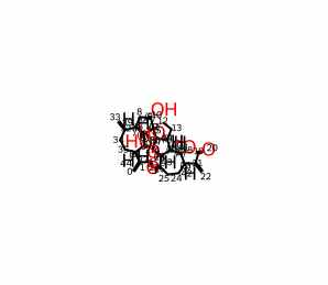 C=C1C(=O)O[C@@H]2[C@@H]3[C@@H](C[C@H](O)[C@]34CC[C@]3(O)[C@@H]5[C@H]6OC(=O)C(=C)[C@@H]6CCC(=C)[C@@H]5C[C@]43O)C(=C)CC[C@@H]12